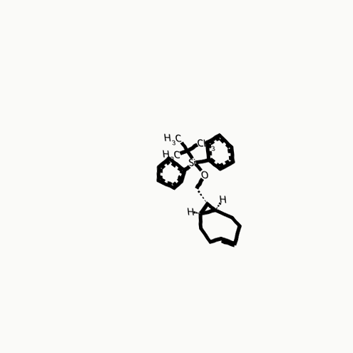 CC(C)(C)[Si](OC[C@H]1[C@@H]2CC/C=C/CC[C@@H]21)(c1ccccc1)c1ccccc1